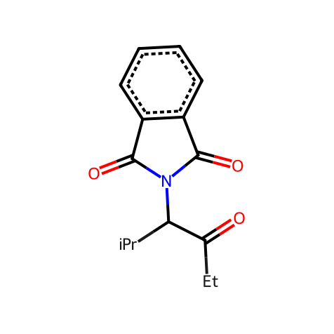 CCC(=O)C(C(C)C)N1C(=O)c2ccccc2C1=O